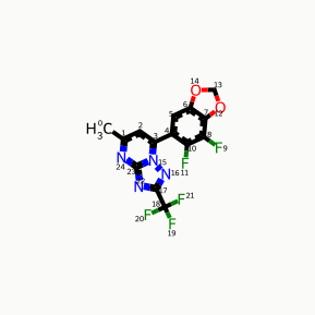 Cc1cc(-c2cc3c(c(F)c2F)OCO3)n2nc(C(F)(F)F)nc2n1